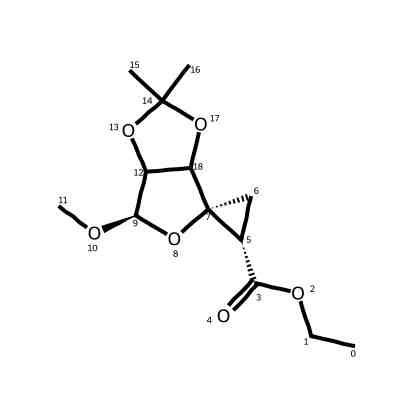 CCOC(=O)[C@H]1C[C@@]12O[C@@H](OC)C1OC(C)(C)OC12